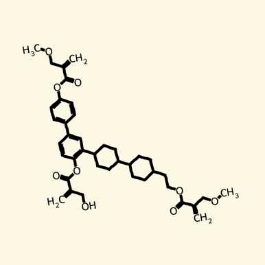 C=C(COC)C(=O)OCCC1CCC(C2CCC(c3cc(-c4ccc(OC(=O)C(=C)COC)cc4)ccc3OC(=O)C(=C)CO)CC2)CC1